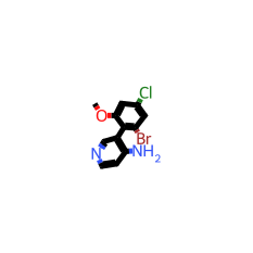 COc1cc(Cl)cc(Br)c1-c1cnccc1N